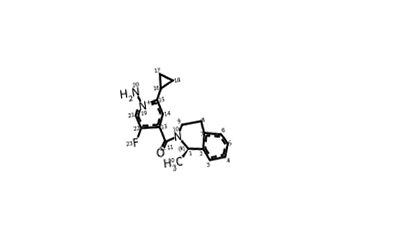 C[C@@H]1c2ccccc2CCN1C(=O)c1cc(C2CC2)[n+](N)cc1F